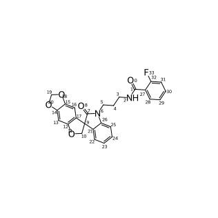 O=C(NCCCN1C(=O)C2(COc3cc4c(cc32)OCO4)c2ccccc21)c1ccccc1F